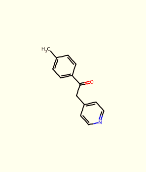 Cc1ccc(C(=O)Cc2ccncc2)cc1